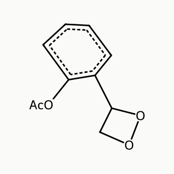 CC(=O)Oc1ccccc1C1COO1